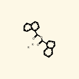 O=C(OC(=O)c1cccc2ccccc12)c1cccc2ccccc12.[K].[K]